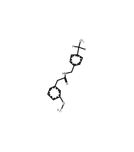 O=C(Cc1cccc(OC(F)(F)F)c1)NCc1ccc(C(F)(F)C(F)(F)F)cc1